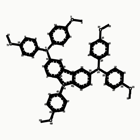 COc1ccc(N(c2ccc(OC)cc2)c2ccc3c(c2)c2cc(N(c4ccc(OC)cc4)c4ccc(OC)cc4)ccc2n3-c2ccc(OC)cc2)cc1